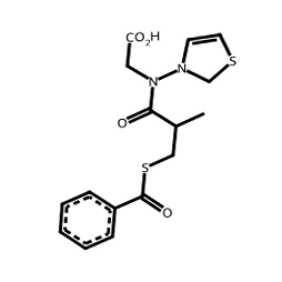 CC(CSC(=O)c1ccccc1)C(=O)N(CC(=O)O)N1C=CSC1